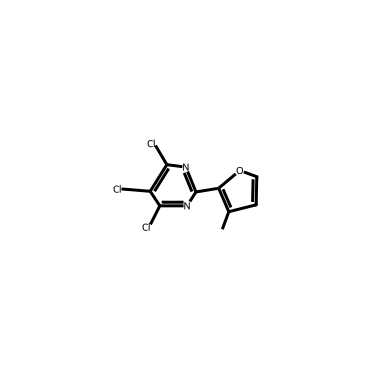 Cc1ccoc1-c1nc(Cl)c(Cl)c(Cl)n1